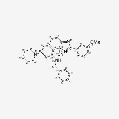 COc1cccc(C2=N[N+]3(C#N)C(=N2)C=Cc2cc(N4CCOCC4)cc(NCc4ccccc4)c23)c1